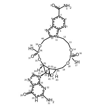 NC(=O)c1cnc2c(c1)nc1n2CCOP(=O)(S)OC[C@H]2O[C@@H](n3cnc4c(=O)[nH]c(N)nc43)[C@H](OP(=O)(S)OC1)[C@H]2F